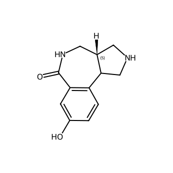 O=C1NC[C@@H]2CNCC2c2ccc(O)cc21